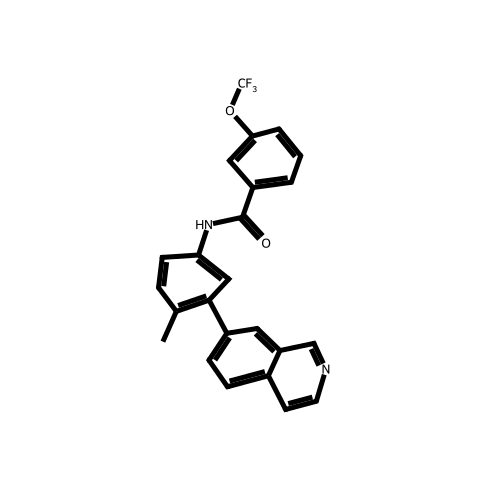 Cc1ccc(NC(=O)c2cccc(OC(F)(F)F)c2)cc1-c1ccc2ccncc2c1